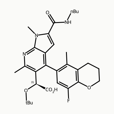 CCCCNC(=O)c1cc2c(-c3cc(F)c4c(c3C)CCCO4)c([C@H](OC(C)(C)C)C(=O)O)c(C)nc2n1C